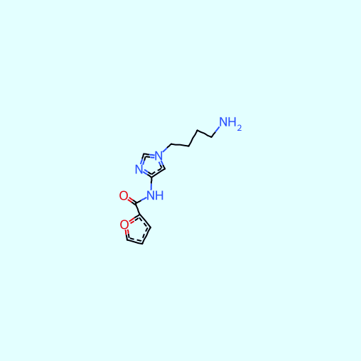 NCCCCn1cnc(NC(=O)c2ccco2)c1